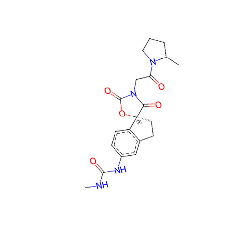 CNC(=O)Nc1ccc2c(c1)CC[C@@]21OC(=O)N(CC(=O)N2CCCC2C)C1=O